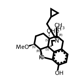 CO[C@H]1CC[C@@]2(O)[C@H]3Cc4ccc(O)c5c4[C@@]2(CC[N+]3(C)CC2CC2)[C@H]1O5